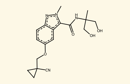 Cn1nc2ccc(OCC3(C#N)CC3)cc2c1C(=O)NC(C)(CO)CO